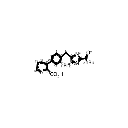 CCCCC(=O)c1nc(Cc2ccc(-c3cccnc3C(=O)O)cc2)n(CCC)n1